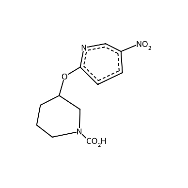 O=C(O)N1CCCC(Oc2ccc([N+](=O)[O-])cn2)C1